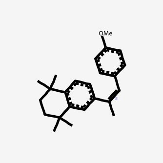 COc1ccc(/C=C(/C)c2ccc3c(c2)C(C)(C)CCC3(C)C)cc1